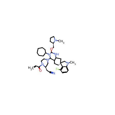 C=CC(=O)N1CCN(C2C3CC[C@]4(CC3NC(OC[C@H]3CCCN3C)N2C2CCCCCC2)CN(C)c2cccc(F)c24)C[C@H]1CC#N